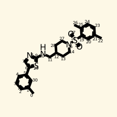 Cc1[c]ccc(-c2cnc(NCC3CCN(S(=O)(=O)c4cc(C)ccc4C)CC3)s2)c1